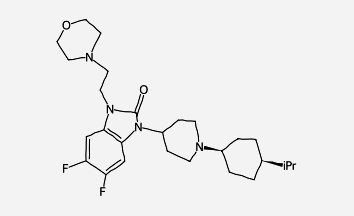 CC(C)[C@H]1CC[C@@H](N2CCC(n3c(=O)n(CCN4CCOCC4)c4cc(F)c(F)cc43)CC2)CC1